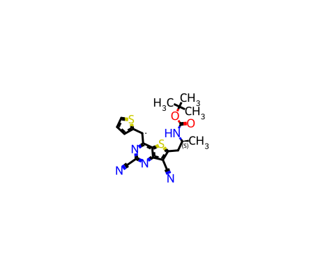 C[C@@H](Cc1sc2c([CH]c3cccs3)nc(C#N)nc2c1C#N)NC(=O)OC(C)(C)C